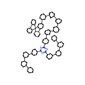 C1=CC2c3ccc(-c4cccc(-c5cccc(-c6cccc(-c7cccc(-c8cccc(-c9ccc(-c%10nc(-c%11ccc(-c%12cccc(-c%13cccc(-c%14ccccc%14)c%13)c%12)cc%11)nc(-c%11cccc(-c%12cccc(-c%13cccc(-c%14ccccc%14)c%13)c%12)c%11)n%10)cc9)c8)c7)c6)c5)c4)cc3C3(c4ccccc4-c4ccccc43)C2C=C1